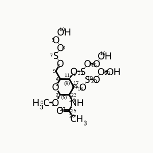 CO[C@H]1OC(COSOOO)[C@@H](OSOOO)[C@H](OSOOO)C1NC(C)=O